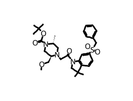 COC[C@H]1CN(C(=O)OC(C)(C)C)[C@H](C)CN1CC(=O)N1CC(C)(C)c2ccc(S(=O)(=O)Cc3ccccc3)cc21